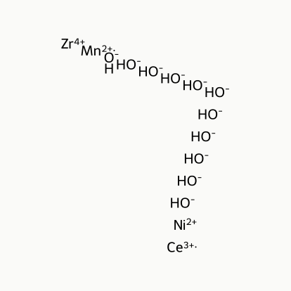 [Ce+3].[Mn+2].[Ni+2].[OH-].[OH-].[OH-].[OH-].[OH-].[OH-].[OH-].[OH-].[OH-].[OH-].[OH-].[Zr+4]